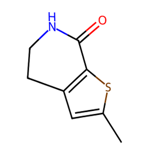 Cc1cc2c(s1)C(=O)NCC2